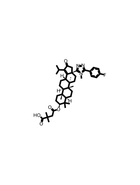 CC(C)C1=C2[C@H]3CC[C@@H]4[C@@]5(C)CC[C@H](OC(=O)CC(C)(C)C(=O)O)C(C)(C)[C@@H]5CC[C@@]4(C)[C@]3(C)CC[C@@]2(c2nnc(-c3ccc(F)cc3)n2C)CC1=O